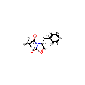 CC(C)(C)C(=O)N1C(=O)OC[C@@H]1Cc1ccccc1